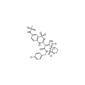 CS(=O)(=O)Nc1ccc2c(c1)S(=O)(=O)N=C(C1=C(O)[C@@H]3[C@H]4CC[C@H](C4)[C@@H]3N(Cc3ccc(F)cc3)C1=O)N2